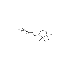 CC1(C)CCC(CCO[SiH3])C1(C)C